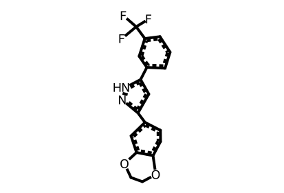 FC(F)(F)c1cccc(-c2cc(-c3ccc4c(c3)OCCO4)n[nH]2)c1